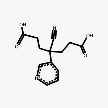 N#CC(CCC(=O)O)(CCC(=O)O)c1cccnc1